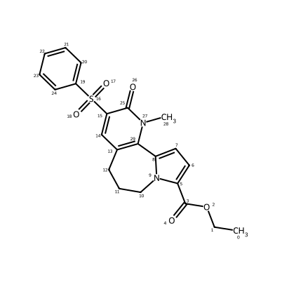 CCOC(=O)c1ccc2n1CCCc1cc(S(=O)(=O)c3ccccc3)c(=O)n(C)c1-2